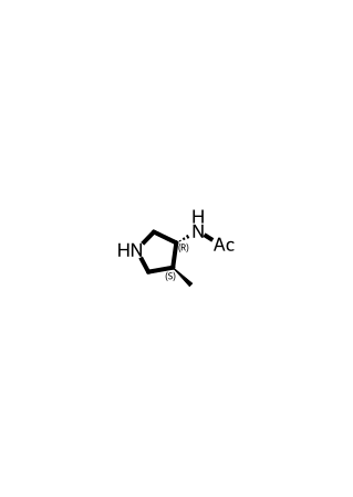 CC(=O)N[C@H]1CNC[C@@H]1C